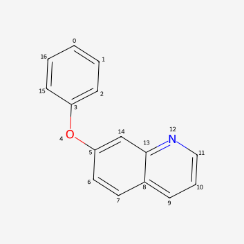 c1ccc(Oc2ccc3cccnc3c2)cc1